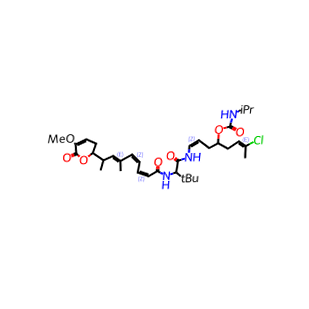 COC1=CCC(C(C)/C=C(C)/C=C\C=C/C(=O)NC(C(=O)N/C=C\CC(C/C=C(\C)Cl)OC(=O)NC(C)C)C(C)(C)C)OC1=O